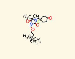 CC1(C)C(=O)N(COCC[Si](C)(C)C)C(=O)N1CC1(F)CCC(=O)CC1